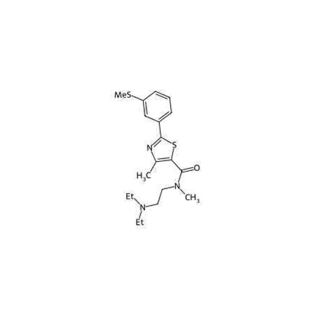 CCN(CC)CCN(C)C(=O)c1sc(-c2cccc(SC)c2)nc1C